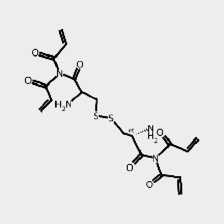 C=CC(=O)N(C(=O)C=C)C(=O)C(N)CSSC[C@H](N)C(=O)N(C(=O)C=C)C(=O)C=C